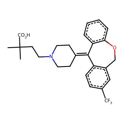 CC(C)(CCN1CCC(=C2c3ccc(C(F)(F)F)cc3COc3ccccc32)CC1)C(=O)O